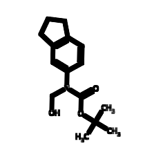 CC(C)(C)OC(=O)N(CO)c1ccc2c(c1)CCC2